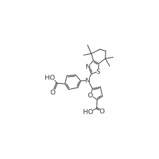 CC1(C)CCC(C)(C)c2sc(N(c3ccc(C(=O)O)cc3)c3ccc(C(=O)O)o3)nc21